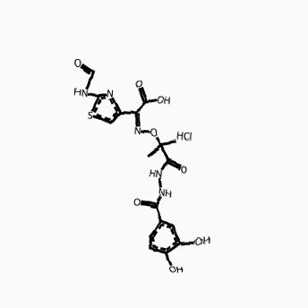 CC(C)(O/N=C(\C(=O)O)c1csc(NC=O)n1)C(=O)NNC(=O)c1ccc(O)c(O)c1.Cl